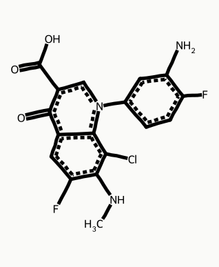 CNc1c(F)cc2c(=O)c(C(=O)O)cn(-c3ccc(F)c(N)c3)c2c1Cl